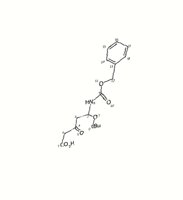 CC(C)(C)OC(CC(=O)CC(=O)O)NC(=O)OCc1ccccc1